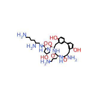 NCCCC[C@H](N)CNC(=O)[C@@H]1C[C@@H](O)CN1C(=O)[C@@H]1Cc2cc(ccc2O)-c2ccc(O)c(c2)C[C@H](N)C(=O)N[C@@H](CCCN)C(=O)N1